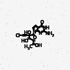 C[C@H](O)[C@H]1O[C@@H](n2ccc3c(=O)[nH]c(N)nc32)C(O)(C#CCl)[C@H]1O